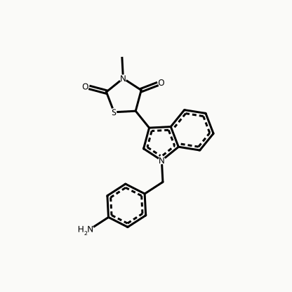 CN1C(=O)SC(c2cn(Cc3ccc(N)cc3)c3ccccc23)C1=O